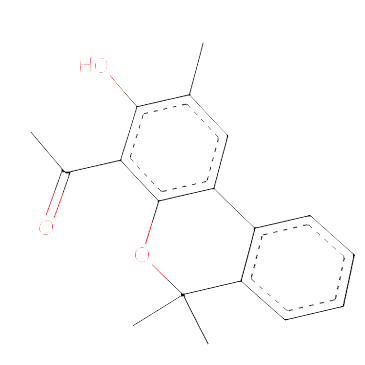 CC(=O)c1c(O)c(C)cc2c1OC(C)(C)c1ccccc1-2